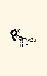 C/C=C\c1ccccc1OCC(O)CNC(C)(C)C.Cl